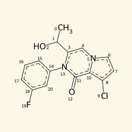 CC(O)c1cn2ccc(Cl)c2c(=O)n1-c1cccc(F)c1